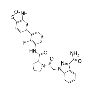 NC(=O)c1nn(CC(=O)N2CCCC2C(=O)Nc2cccc(-c3ccc4c(c3)NOS4)c2F)c2ccccc12